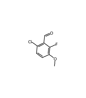 COc1ccc(Cl)c(C=O)c1F